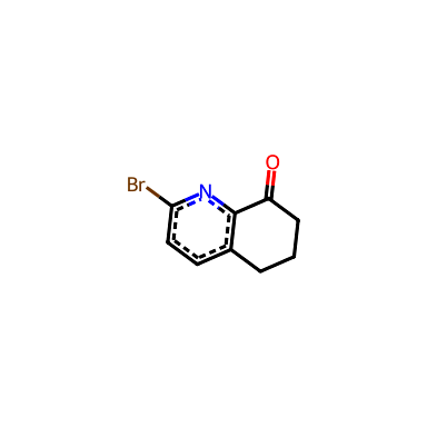 O=C1CCCc2ccc(Br)nc21